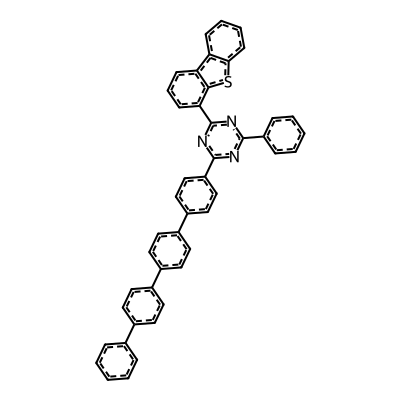 c1ccc(-c2ccc(-c3ccc(-c4ccc(-c5nc(-c6ccccc6)nc(-c6cccc7c6sc6ccccc67)n5)cc4)cc3)cc2)cc1